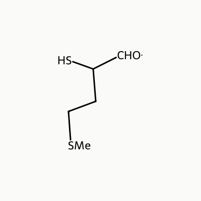 CSCCC(S)[C]=O